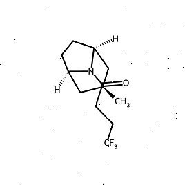 C[C@H]1C[C@H]2CC[C@@H](C1)N2C(=O)CCC(F)(F)F